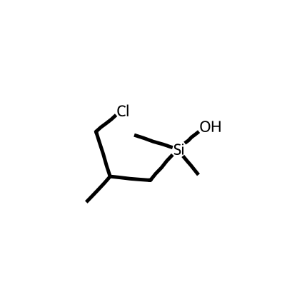 CC(CCl)C[Si](C)(C)O